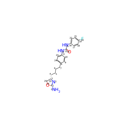 NC1=N[C@@H](CCCCc2ccc(NC(=O)Nc3ccc(F)cc3)cc2)CO1